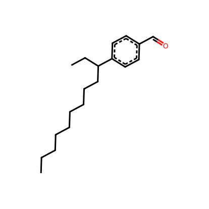 CCCCCCCCCC(CC)c1ccc(C=O)cc1